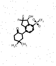 CC1(C)CCC(=O)C(c2ccc(S(=O)(=O)C(F)(F)F)c3c2CC(F)(F)[C@H]3O)C1